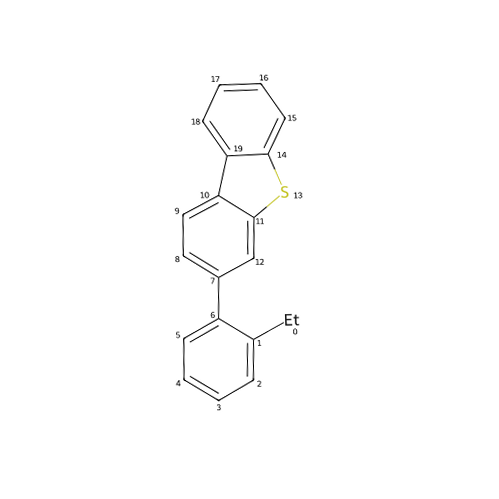 CCc1ccccc1-c1ccc2c(c1)sc1ccccc12